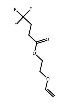 C=COCCOC(=O)CCC(F)(F)F